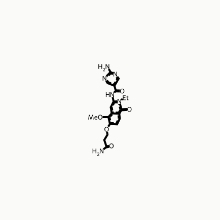 CCn1c(NC(=O)c2cnc(N)nc2)cc2c(OC)c(OCCC(N)=O)ccc2c1=O